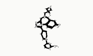 Cc1nccc(N2CCC(c3nnc4n3-c3ccc(Cl)cc3CN(CC3(F)COC3)C4)CC2)n1